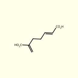 C=C(CCC=CC(=O)O)C(=O)O